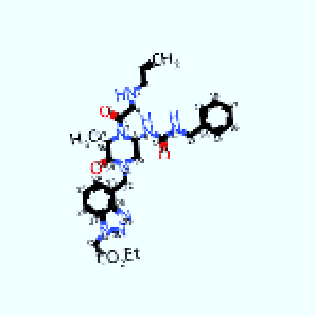 C=CCNCC(=O)N1[C@@H](NC(=O)NCc2ccccc2)CN(Cc2cccc3c2nnn3CC(=O)OCC)C(=O)[C@@H]1C